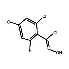 ON=C(Cl)c1c(F)cc(Cl)cc1Cl